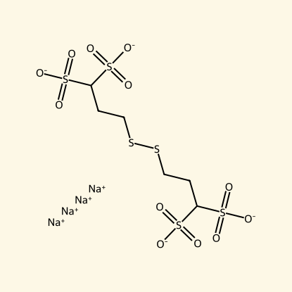 O=S(=O)([O-])C(CCSSCCC(S(=O)(=O)[O-])S(=O)(=O)[O-])S(=O)(=O)[O-].[Na+].[Na+].[Na+].[Na+]